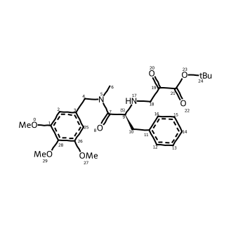 COc1cc(CN(C)C(=O)[C@H](Cc2ccccc2)NCC(=O)C(=O)OC(C)(C)C)cc(OC)c1OC